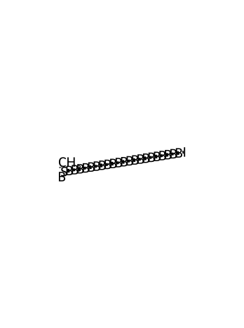 B#S(=BB=BB=BB=BB=BB=BB=BB=BB=BB=BB=BI)CC